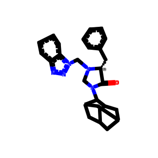 O=C1[C@@H](Cc2ccccc2)N(Cn2nnc3ccccc32)CN1C1C2CC3CC(C2)CC1C3